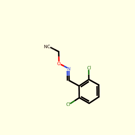 N#CCON=Cc1c(Cl)cccc1Cl